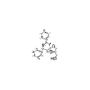 OCC1COC2(CC(c3ccccc3)SC(c3ccccc3)C2)O1